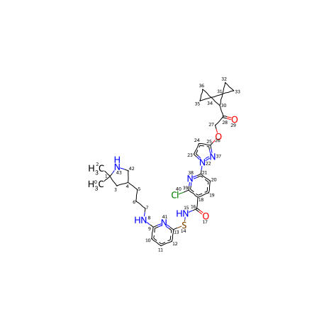 CC1(C)CC(CCCNc2cccc(SNC(=O)c3ccc(-n4ccc(OCC(=O)C5C6(CC6)C56CC6)n4)nc3Cl)n2)CN1